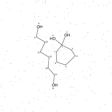 OC1(O)CCCCC1.OCCCCCCO